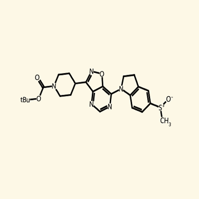 C[S+]([O-])c1ccc2c(c1)CCN2c1ncnc2c(C3CCN(C(=O)OC(C)(C)C)CC3)noc12